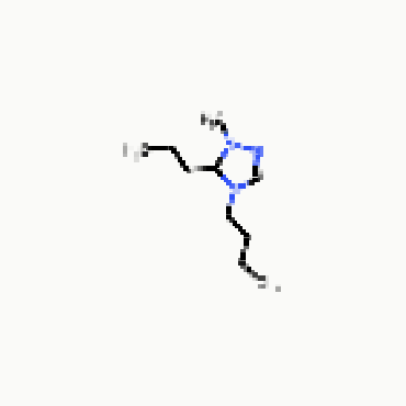 CCCCN1C=NN(C)C1CCC